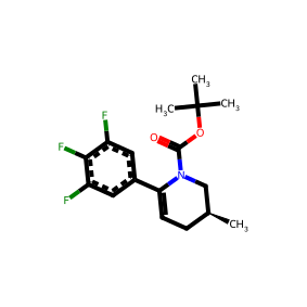 C[C@H]1CC=C(c2cc(F)c(F)c(F)c2)N(C(=O)OC(C)(C)C)C1